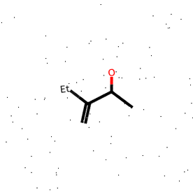 C=C(CC)C(C)[O]